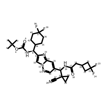 CC(C)(C)OC(=O)N[C@H](c1cn2ncc(C(NC(=O)CC3CC(F)(F)C3)C3(C#N)CC3)cc2n1)C1CCC(F)(F)CC1